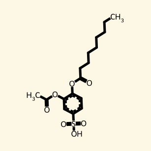 CCCCCCCCC(=O)Oc1ccc(S(=O)(=O)O)cc1OC(C)=O